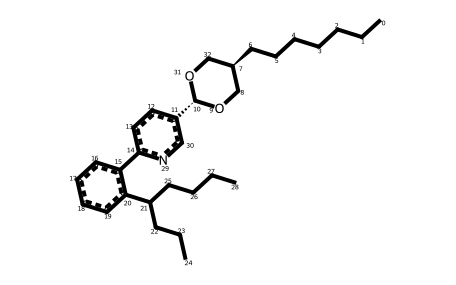 CCCCCCC[C@H]1CO[C@H](c2ccc(-c3ccccc3C(CCC)CCCC)nc2)OC1